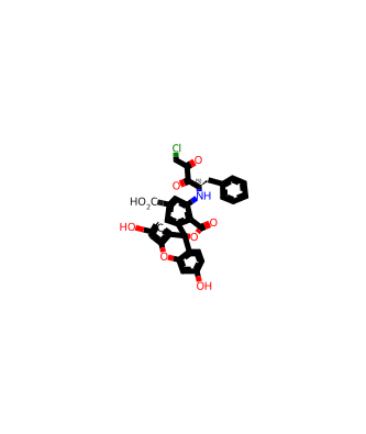 O=C(CCl)C(=O)[C@H](Cc1ccccc1)Nc1cc(C(=O)O)cc2c1C(=O)OC21c2ccc(O)cc2Oc2cc(O)ccc21